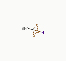 CCCC12SS1(I)S2